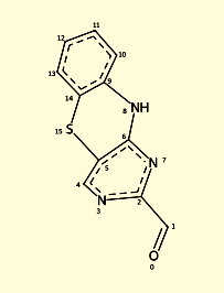 O=Cc1ncc2c(n1)Nc1ccccc1S2